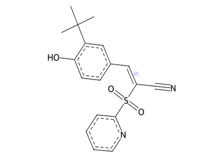 CC(C)(C)c1cc(/C=C(/C#N)S(=O)(=O)c2ccccn2)ccc1O